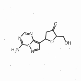 Nc1ncnc2c(C3CC(=O)C(CO)O3)cnn12